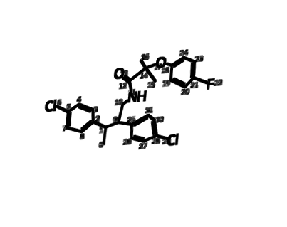 CC(c1ccc(Cl)cc1)C(CNC(=O)C(C)(C)Oc1ccc(F)cc1)c1ccc(Cl)cc1